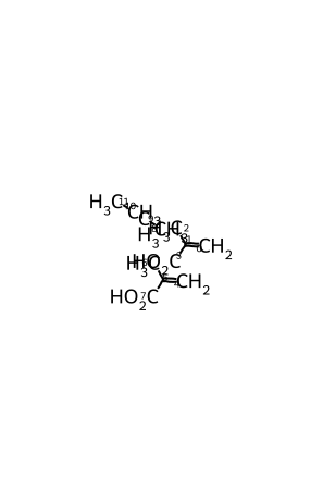 C=C(C)C(=O)O.C=C(C)C(=O)O.CC.CC